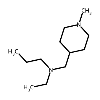 CCCN(CC)CC1CCN(C)CC1